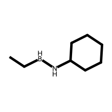 CCBNC1CCCCC1